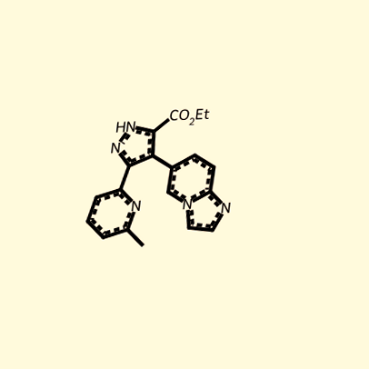 CCOC(=O)c1[nH]nc(-c2cccc(C)n2)c1-c1ccc2nccn2c1